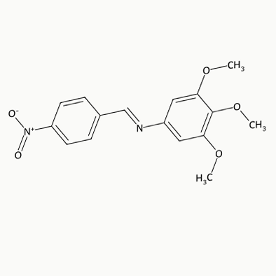 COc1cc(N=Cc2ccc([N+](=O)[O-])cc2)cc(OC)c1OC